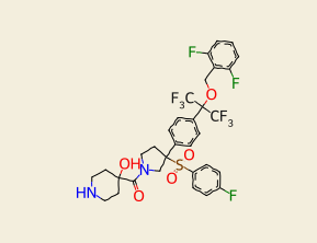 O=C(N1CCC(c2ccc(C(OCc3c(F)cccc3F)(C(F)(F)F)C(F)(F)F)cc2)(S(=O)(=O)c2ccc(F)cc2)C1)C1(O)CCNCC1